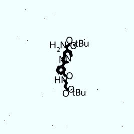 CC(C)(C)OC(=O)CCNC(=O)c1cccc(-c2cn3ccc(C(N)C(=O)OC(C)(C)C)cc3n2)c1